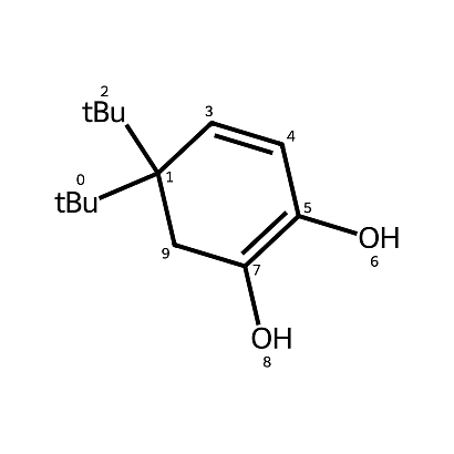 CC(C)(C)C1(C(C)(C)C)C=CC(O)=C(O)C1